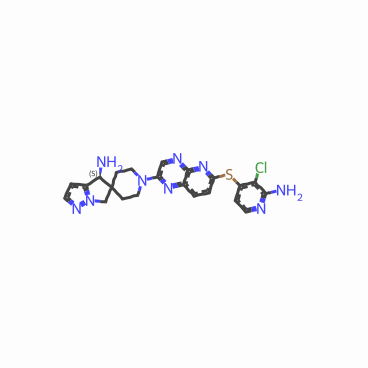 Nc1nccc(Sc2ccc3nc(N4CCC5(CC4)Cn4nccc4[C@H]5N)cnc3n2)c1Cl